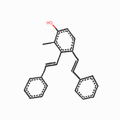 Cc1c(O)ccc(C=Cc2ccccc2)c1C=Cc1ccccc1